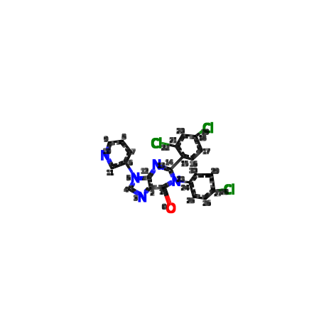 O=c1c2ncn(-c3cccnc3)c2nc(-c2ccc(Cl)cc2Cl)n1-c1ccc(Cl)cc1